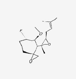 CO[C@H]1C([C@@]2(C)O[C@@H]2CC=C(C)C)[C@]2(CC[C@@H]1F)CO2